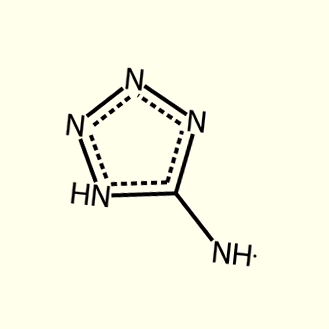 [NH]c1nnn[nH]1